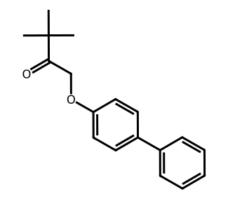 CC(C)(C)C(=O)COc1ccc(-c2ccccc2)cc1